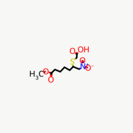 COC(=O)CCCCC(C[N+](=O)[O-])SCC(=O)O